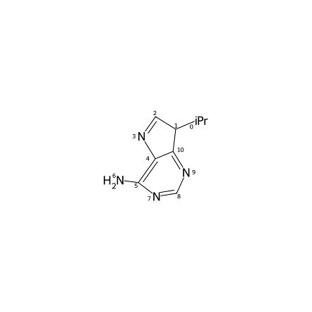 CC(C)C1C=Nc2c(N)ncnc21